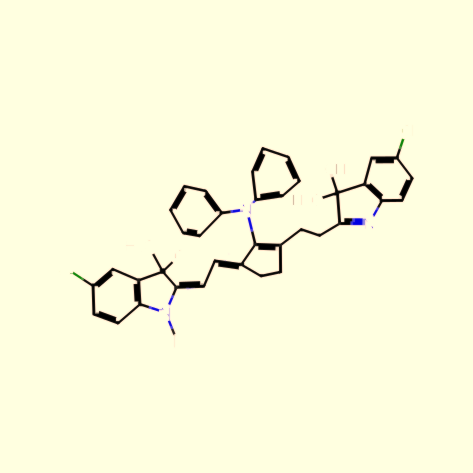 CCN1/C(=C/C=C2\CCC(CCC3=Nc4ccc(Cl)cc4C3(C)C)=C2N(c2ccccc2)c2ccccc2)C(C)(C)c2cc(Cl)ccc21